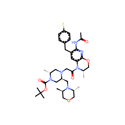 CC(=O)Nc1nc2c(cc1Cc1ccc(F)cc1)N(C(=O)CN1C[C@@H](C)N(C(=O)OC(C)(C)C)C[C@@H]1CN1[C@H](C)COC[C@H]1C)[C@@H](C)CO2